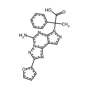 CC(C(=O)O)(c1ccccc1)n1ncc2c1nc(N)n1nc(-c3ccco3)nc21